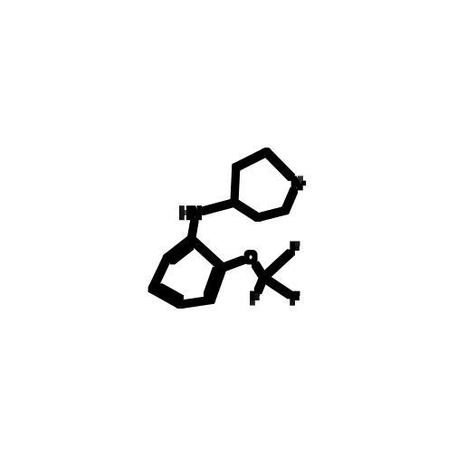 FC(F)(F)Oc1ccccc1NC1CC[N]CC1